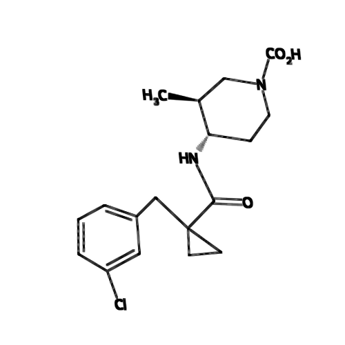 C[C@H]1CN(C(=O)O)CC[C@@H]1NC(=O)C1(Cc2cccc(Cl)c2)CC1